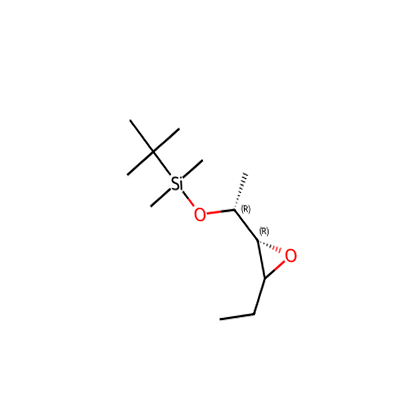 CCC1O[C@H]1[C@@H](C)O[Si](C)(C)C(C)(C)C